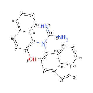 N=C(N)N(c1c(O)ccc2ccccc12)c1ccc2c3c(cccc13)C=C2